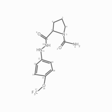 NC(=O)N1CCCC1C(=O)NNc1ccc(OC(F)(F)F)cc1